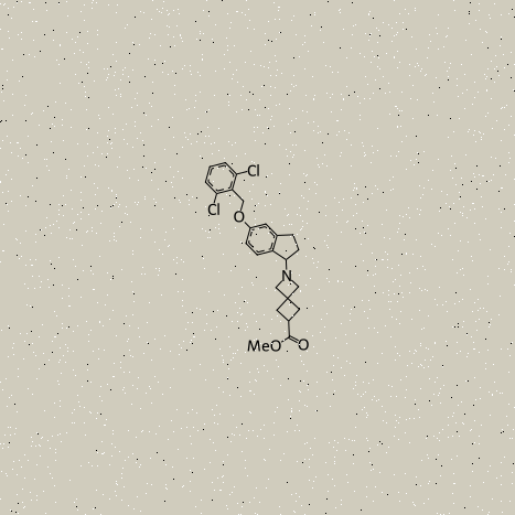 COC(=O)C1CC2(C1)CN(C1CCc3cc(OCc4c(Cl)cccc4Cl)ccc31)C2